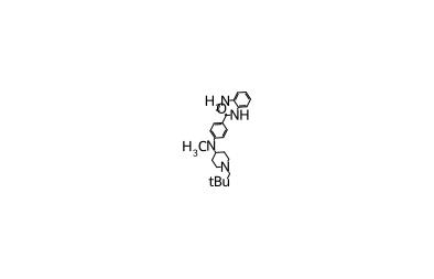 CN(c1ccc(C(=O)Nc2ccccc2N)cc1)C1CCN(CC(C)(C)C)CC1